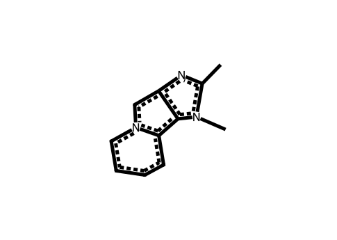 Cc1nc2cn3ccccc3c2n1C